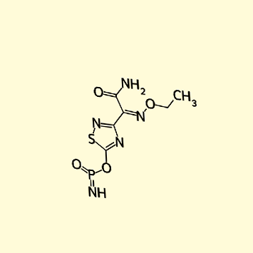 CCO/N=C(\C(N)=O)c1nsc(OP(=N)=O)n1